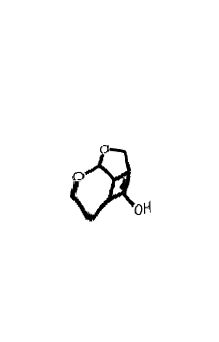 OC1=C2COC3OCC1CC23